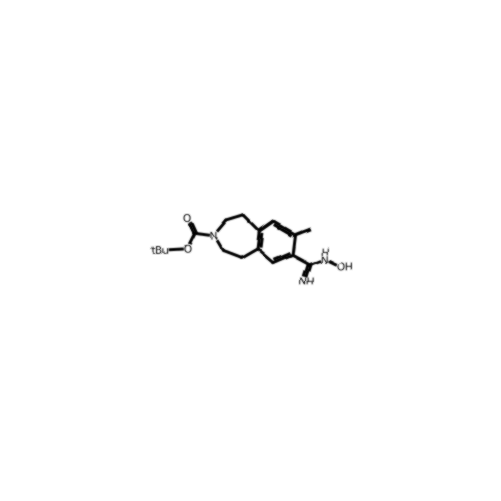 Cc1cc2c(cc1C(=N)NO)CCN(C(=O)OC(C)(C)C)CC2